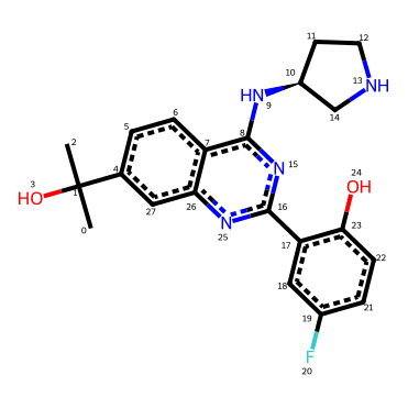 CC(C)(O)c1ccc2c(N[C@H]3CCNC3)nc(-c3cc(F)ccc3O)nc2c1